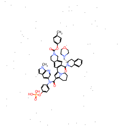 Cc1ccc(OC(=O)N2CCc3cc(-c4cc(C(=O)N(c5ccc(OP(=O)(O)O)cc5)c5cnc6c(ccn6C)c5)c5n4CCCC5)c(C(=O)N4Cc5ccccc5C[C@H]4CN4CCOCC4)cc3C2)cc1